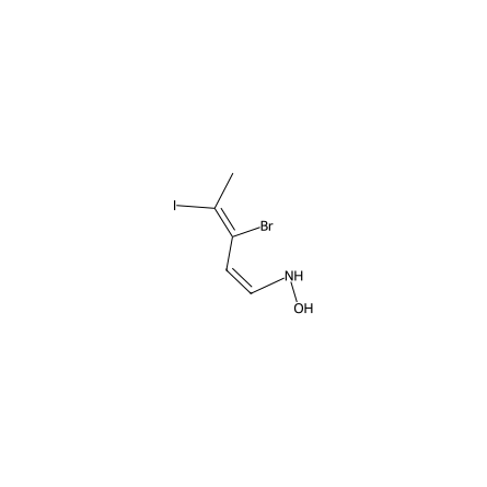 C/C(I)=C(Br)/C=C\NO